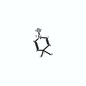 CC1(C)C=CN(Br)C=C1